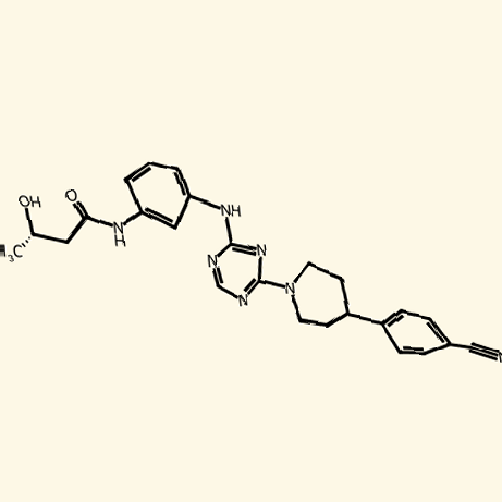 C[C@H](O)CC(=O)Nc1cccc(Nc2ncnc(N3CCC(c4ccc(C#N)cc4)CC3)n2)c1